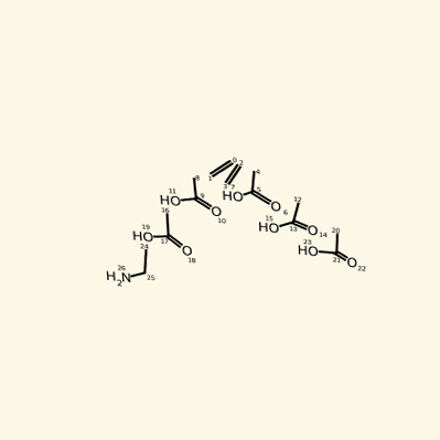 C=C.C=C.CC(=O)O.CC(=O)O.CC(=O)O.CC(=O)O.CC(=O)O.CCN